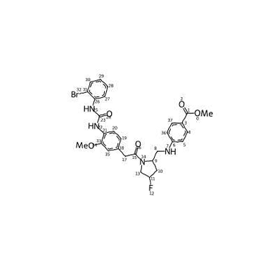 COC(=O)c1ccc(NCC2CC(F)CN2C(=O)Cc2ccc(NC(=O)Nc3ccccc3Br)c(OC)c2)cc1